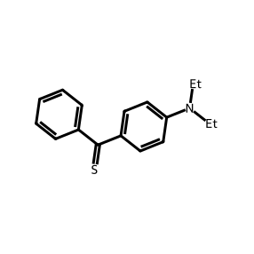 CCN(CC)c1ccc(C(=S)c2ccccc2)cc1